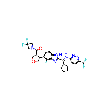 O=C(C1COCC1c1ccc2[nH]c([C@@H](Nc3ccc(C(F)F)nn3)C3CCCC3)nc2c1F)N1CC(F)(F)C1